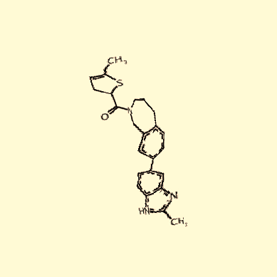 CC1=CCC(C(=O)N2CCCc3ccc(-c4ccc5[nH]c(C)nc5c4)cc3C2)S1